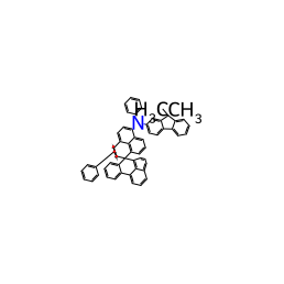 CC1(C)c2ccccc2-c2ccc(N(c3ccccc3)c3ccc4c5c(cccc35)C3(c5ccccc5-c5cccc6cccc3c56)c3cc(-c5ccccc5)ccc3-4)cc21